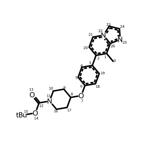 Cc1c(-c2ccc(OC3CCN(C(=O)OC(C)(C)C)CC3)cc2)ccn2ccnc12